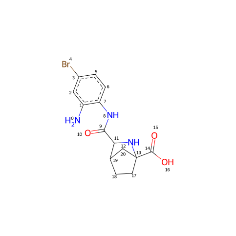 Nc1cc(Br)ccc1NC(=O)C1NC2(C(=O)O)CCC1C2